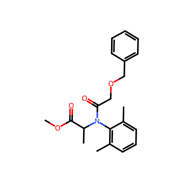 COC(=O)C(C)N(C(=O)COCc1ccccc1)c1c(C)cccc1C